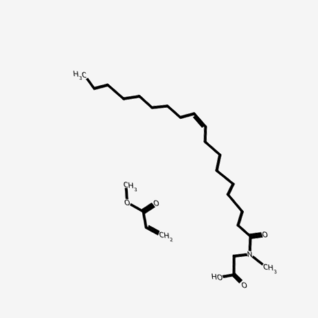 C=CC(=O)OC.CCCCCCCC/C=C\CCCCCCCC(=O)N(C)CC(=O)O